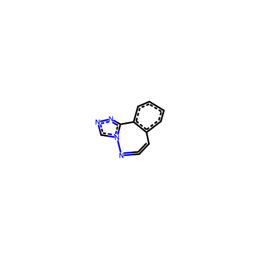 C1=Cc2ccccc2-c2nncn2N=1